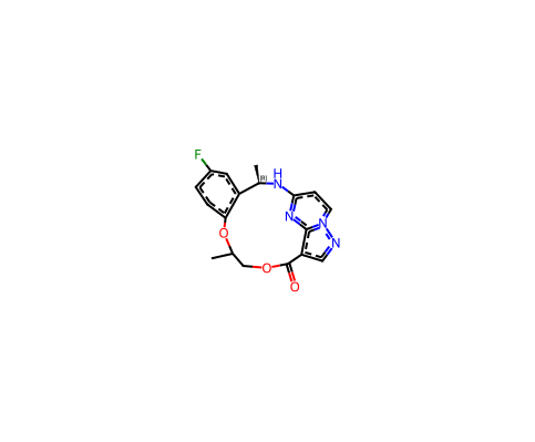 CC1COC(=O)c2cnn3ccc(nc23)N[C@H](C)c2cc(F)ccc2O1